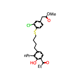 CCCc1c(CCCCSc2ccc(CC(=O)OC)cc2Cl)ccc(C(=O)CC)c1O